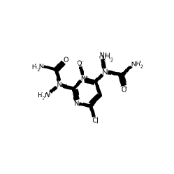 NC(=O)N(N)c1cc(Cl)nc(N(N)C(N)=O)[n+]1[O-]